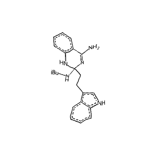 CCC(C)NC1(CCc2c[nH]c3ccccc23)N=C(N)c2ccccc2N1